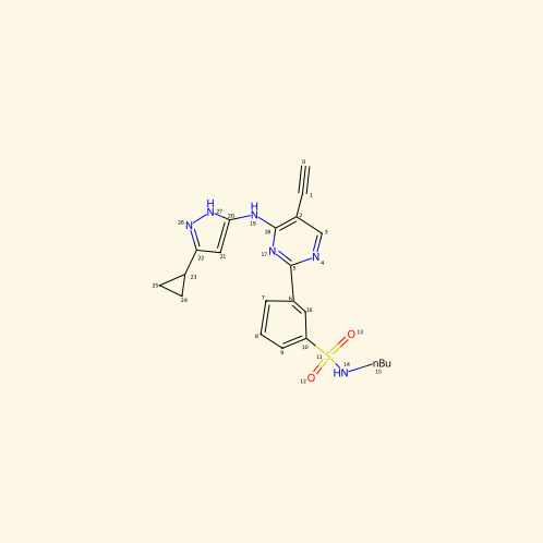 C#Cc1cnc(-c2cccc(S(=O)(=O)NCCCC)c2)nc1Nc1cc(C2CC2)n[nH]1